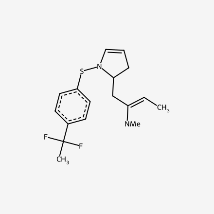 C/C=C(/CC1CC=CN1Sc1ccc(C(C)(F)F)cc1)NC